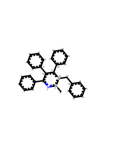 C[si]1nc(-c2ccccc2)c(-c2ccccc2)c(-c2ccccc2)[si]1Cc1ccccc1